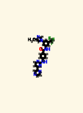 Cc1cn(-c2cc(NC(=O)c3ccc(Nc4nccc(-c5cnccn5)n4)cc3)cc(C(F)(F)F)c2)cn1